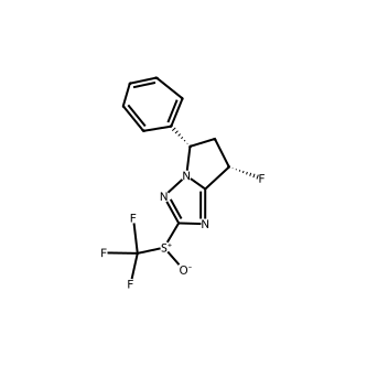 [O-][S+](c1nc2n(n1)[C@H](c1ccccc1)C[C@@H]2F)C(F)(F)F